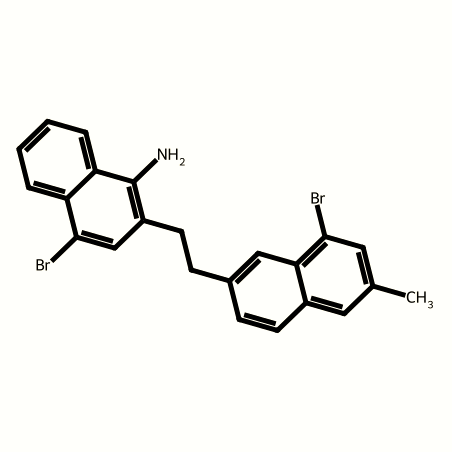 Cc1cc(Br)c2cc(CCc3cc(Br)c4ccccc4c3N)ccc2c1